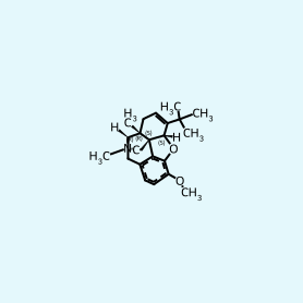 COc1ccc2c3c1O[C@H]1C(C(C)(C)C)=CC[C@@]4(C)[C@@H](C2)N(C)CC[C@]314